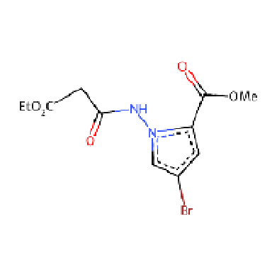 CCOC(=O)CC(=O)Nn1cc(Br)cc1C(=O)OC